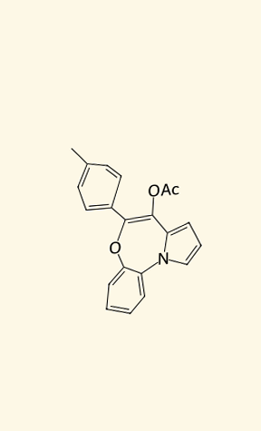 CC(=O)OC1=C(c2ccc(C)cc2)Oc2ccccc2-n2cccc21